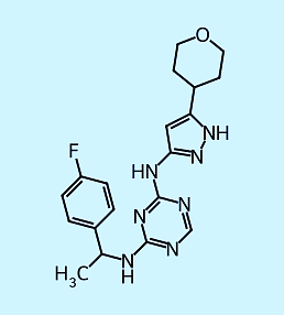 CC(Nc1ncnc(Nc2cc(C3CCOCC3)[nH]n2)n1)c1ccc(F)cc1